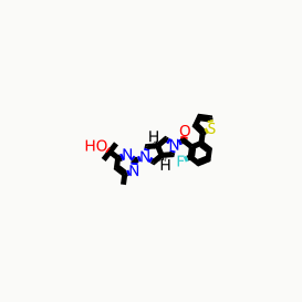 Cc1cc(C(C)(C)O)nc(N2C[C@H]3CN(C(=O)c4c(F)cccc4-c4cccs4)C[C@H]3C2)n1